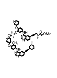 COCC(=O)NCC#Cc1ccc2ncnc(Nc3ccc(Oc4cccnc4)c(C)c3)c2c1.Cc1ccc(Oc2ccc(Nc3ncnc4ccc(C#CC5CCCNC5)cc34)cc2C)cn1